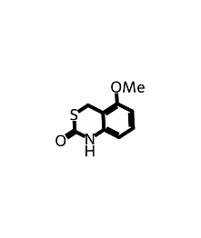 COc1cccc2c1CSC(=O)N2